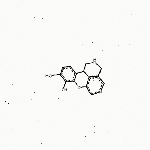 Oc1ccc2c(c1O)Oc1cncc3c1C2CNC3